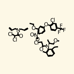 C=CCN(CC=C)C(=O)C(Cl)Cl.CCOc1cc(Oc2ccc(C(F)(F)F)cc2Cl)ccc1[N+](=O)[O-].CCc1cccc(C)c1N(C(=O)CCl)C(C)COC